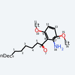 CCCCCCCCCCCCCCCC(=O)c1c(OCC)ccc(OCC)c1N